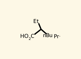 CCCCC(CC)C(=O)O.[Pr]